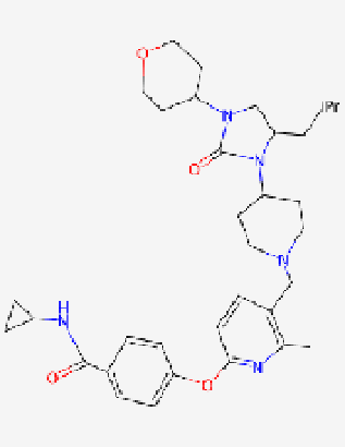 Cc1nc(Oc2ccc(C(=O)NC3CC3)cc2)ccc1CN1CCC(N2C(=O)N(C3CCOCC3)CC2CC(C)C)CC1